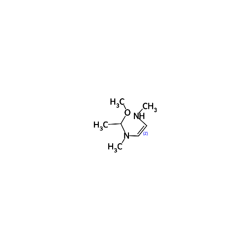 CN/C=C\N(C)C(C)OC